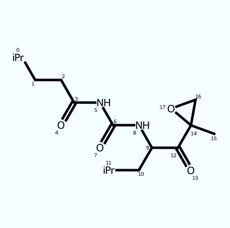 CC(C)CCC(=O)NC(=O)NC(CC(C)C)C(=O)C1(C)CO1